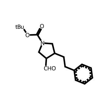 CC(C)(C)OC(=O)N1CC(C=O)C(CCc2ccccc2)C1